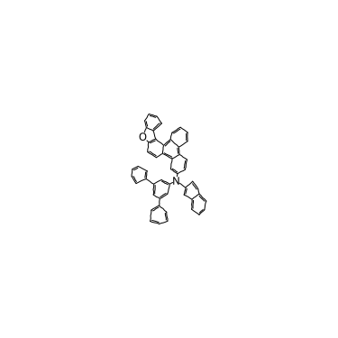 c1ccc(-c2cc(-c3ccccc3)cc(N(c3ccc4ccccc4c3)c3ccc4c5ccccc5c5c(ccc6oc7ccccc7c65)c4c3)c2)cc1